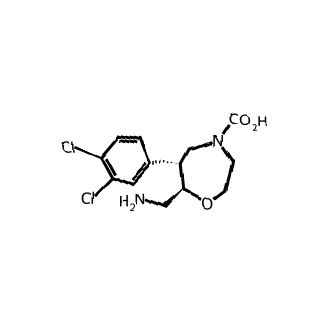 NC[C@@H]1OCCN(C(=O)O)C[C@H]1c1ccc(Cl)c(Cl)c1